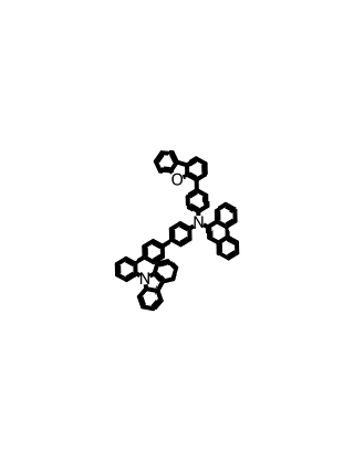 C1=CC2C3=C(C=CCC3)N(c3ccccc3-c3ccc(-c4ccc(N(c5ccc(-c6cccc7c6oc6ccccc67)cc5)c5cc6ccccc6c6ccccc56)cc4)cc3)C2C=C1